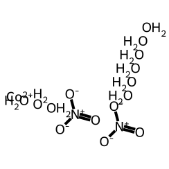 O.O.O.O.O.O.O.O.O.O=[N+]([O-])[O-].O=[N+]([O-])[O-].[Co+2]